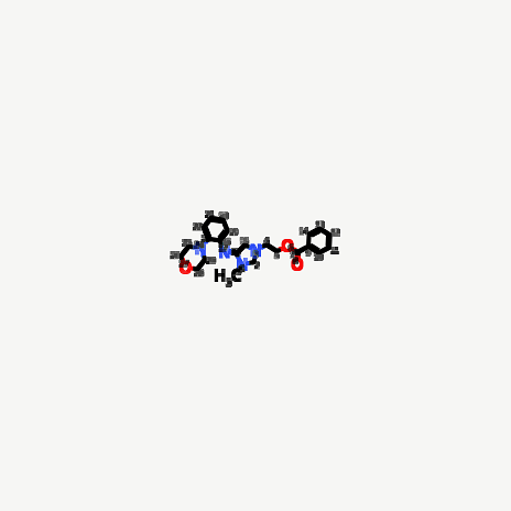 CN1CN(CCOC(=O)c2ccccc2)CC1=Nc1ccccc1N1CCOCC1